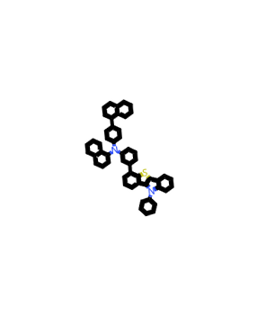 c1ccc(-n2c3ccccc3c3sc4c(-c5cccc(N(c6ccc(-c7cccc8ccccc78)cc6)c6cccc7ccccc67)c5)cccc4c32)cc1